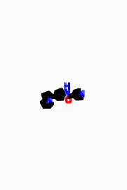 O=C(Nc1ccc(C2CCC3CCCCN32)cc1)c1ccncc1